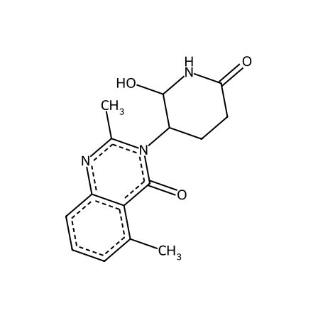 Cc1cccc2nc(C)n(C3CCC(=O)NC3O)c(=O)c12